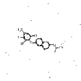 CC(C#N)Oc1ccc2cc(Oc3c(Cl)cc(C(F)(F)F)c(F)c3Cl)ccc2c1